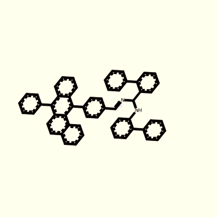 C(=N\C(Nc1ccccc1-c1ccccc1)c1ccccc1-c1ccccc1)/c1ccc(-c2c3ccccc3c(-c3ccccc3)c3ccc4ccccc4c23)cc1